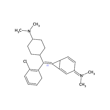 CN(C)C1CCC(/C(C2=C(Cl)C=C=CC2)=C2/C3=CC(=[N+](C)C)C=CC32)CC1